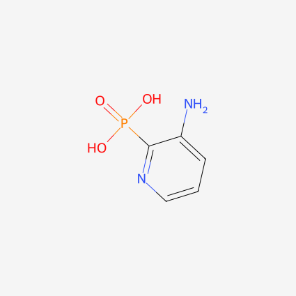 Nc1cccnc1P(=O)(O)O